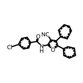 N#Cc1c(NC(=O)c2ccc(Cl)cc2)oc(-c2ccccc2)c1-c1ccccc1